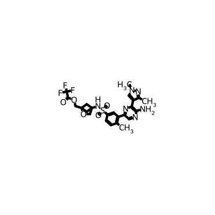 Cc1ccc(S(=O)(=O)NC23COC(COC(=O)C(F)(F)F)(C2)C3)cc1-c1cnc(N)c(-c2cn(C)nc2C)n1